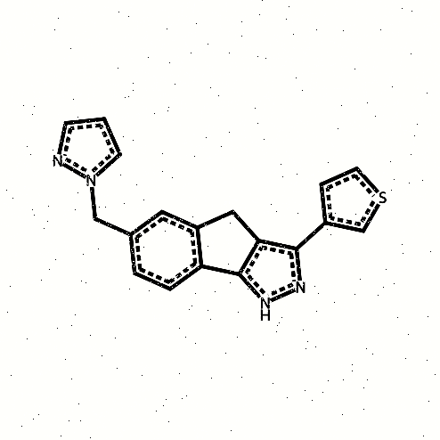 c1cnn(Cc2ccc3c(c2)Cc2c(-c4ccsc4)n[nH]c2-3)c1